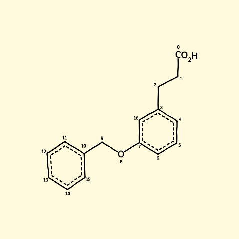 O=C(O)CCc1cccc(OCc2ccccc2)c1